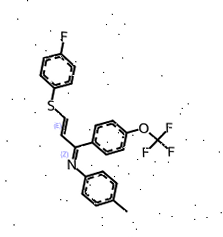 Cc1ccc(/N=C(/C=C/Sc2ccc(F)cc2)c2ccc(OC(F)(F)F)cc2)cc1